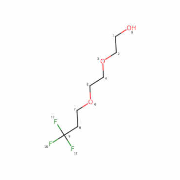 OCCOCCOCCC(F)(F)F